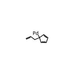 C=CC[C]1([Pd])C=CC=C1